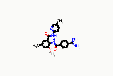 COc1cc(C)cc(C(=O)Nc2ccc(C)cn2)c1NC(=O)c1ccc(C(=N)N)cc1